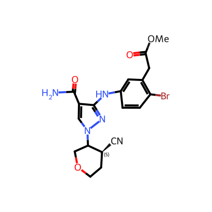 COC(=O)Cc1cc(Nc2nn(C3COCC[C@@H]3C#N)cc2C(N)=O)ccc1Br